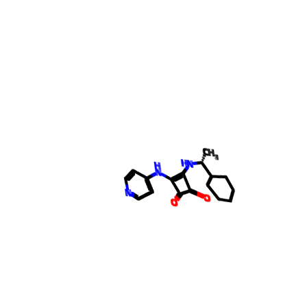 C[C@@H](Nc1c(Nc2ccncc2)c(=O)c1=O)C1CCCCC1